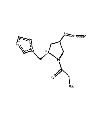 CC(C)(C)OC(=O)N1CC(N=[N+]=[N-])C[C@@H]1Cn1cncn1